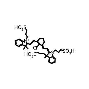 CC1(C)C(/C=C/C2=C(Cl)C(=C/C=C3/N(CCCS(=O)(=O)O)c4ccccc4C3(C)CCCC(=O)O)/CCC2)=[N+](CCCS(=O)(=O)O)c2ccccc21